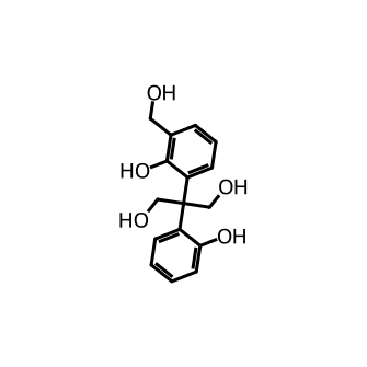 OCc1cccc(C(CO)(CO)c2ccccc2O)c1O